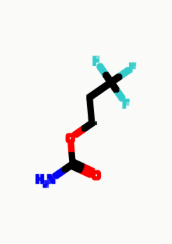 NC(=O)O[CH]CC(F)(F)F